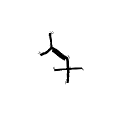 [CH2]C(C)=CC(C)(C)C